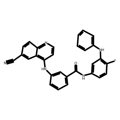 N#Cc1ccc2nccc(Nc3cccc(C(=O)Nc4ccc(F)c(Nc5ccccc5)c4)c3)c2c1